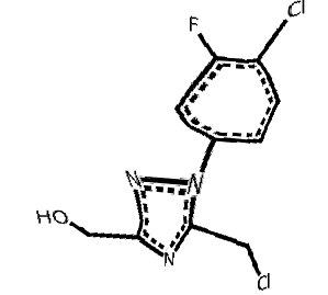 OCc1nc(CCl)n(-c2ccc(Cl)c(F)c2)n1